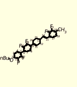 CCCCOc1ccc(-c2ccc(C3=CCC(/C=C/c4ccc(C)c(F)c4F)CC3)c(F)c2F)c(F)c1F